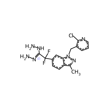 Cc1nn(Cc2cccnc2Cl)c2cc(C(F)(F)/C(=N/N)NN)ccc12